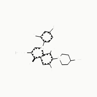 CCc1c(N2CCC(O)CC2)c(F)cc2c(=O)c(C(=O)O)cn(-c3ccc(F)cc3F)c12